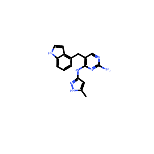 Cc1cc(Nc2nc(N)ncc2Cc2cccc3[nH]ccc23)n[nH]1